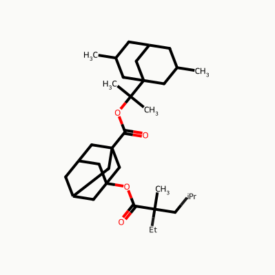 CCC(C)(CC(C)C)C(=O)OC12CC3CC(C1)CC(C(=O)OC(C)(C)C14CC(C)CC(CC(C)C1)C4)(C3)C2